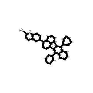 N#Cc1ccc2cc(-c3ccc4c5c(cccc35)-c3c-4c(-c4ccccc4)c4ccccc4c3-c3ccccc3)ccc2n1